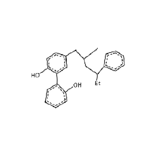 CCC(CC(C)Cc1ccc(O)c(-c2ccccc2O)c1)c1ccccc1